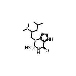 CC(C)CC(CN1c2cc[nH]c2C(=O)N[C@@H]1S)N(C)C